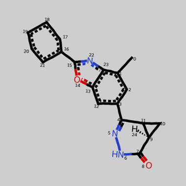 Cc1cc(C2=NNC(=O)[C@@H]3CC23)cc2oc(-c3ccccc3)nc12